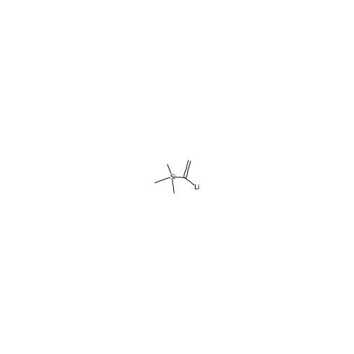 [Li][C](=C)[Si](C)(C)C